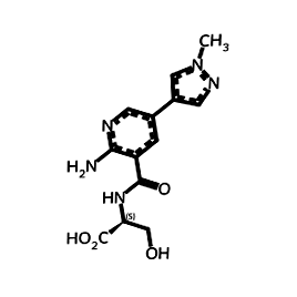 Cn1cc(-c2cnc(N)c(C(=O)N[C@@H](CO)C(=O)O)c2)cn1